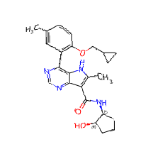 Cc1ccc(OCC2CC2)c(-c2ncnc3c(C(=O)N[C@H]4CCC[C@H]4O)c(C)[nH]c23)c1